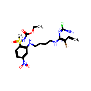 C=C/C(Br)=C(\N=C(/N)Cl)NCCCCNc1cc([N+](=O)[O-])ccc1S(C)(=O)=NC(=O)OCC